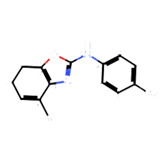 CC(=O)c1ccc(Nc2nc3c(o2)CCC=C3C)cc1